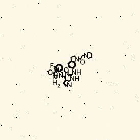 COc1cc2c(cc1Nc1nc(Nc3cccc(F)c3C(N)=O)c3ccnc-3[nH]1)N(C(=O)CN1CCCC1)CC2